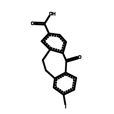 O=C(O)c1ccc2c(c1)CCc1cc(I)ccc1C2=O